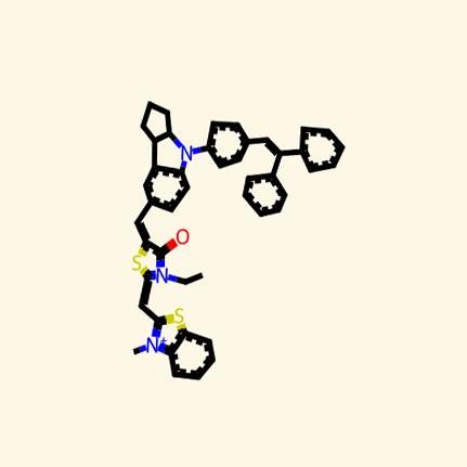 CCn1c(=O)/c(=C\c2ccc3c(c2)C2CCCC2N3c2ccc(C=C(c3ccccc3)c3ccccc3)cc2)s/c1=C/c1sc2ccccc2[n+]1C